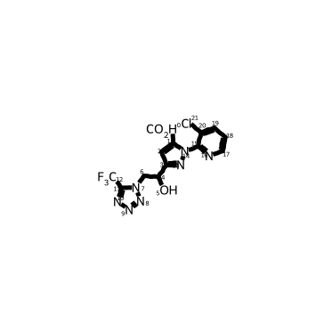 O=C(O)c1cc(C(O)Cn2nnnc2C(F)(F)F)nn1-c1ncccc1Cl